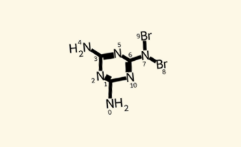 Nc1nc(N)nc(N(Br)Br)n1